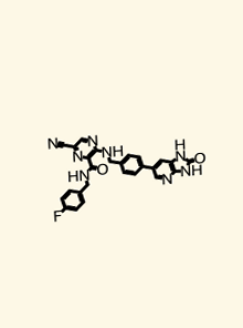 N#Cc1cnc(NCc2ccc(-c3cnc4[nH]c(=O)[nH]c4c3)cc2)c(C(=O)NCc2ccc(F)cc2)n1